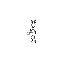 N#Cc1ccc(-c2ncc(N3CCS(=O)(=O)CC3)nc2Cl)cc1